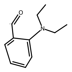 CCN(CC)c1ccccc1[C]=O